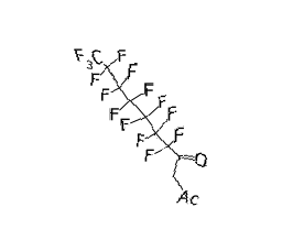 CC(=O)CC(=O)C(F)(F)C(F)(F)C(F)(F)C(F)(F)C(F)(F)C(F)(F)C(F)(F)F